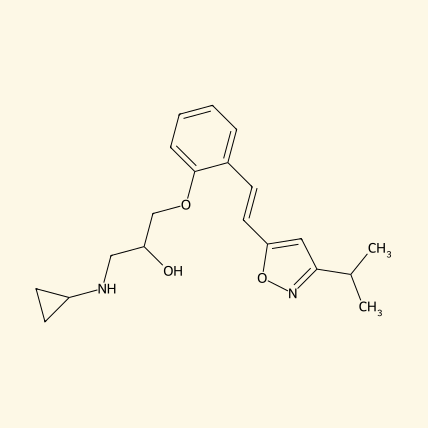 CC(C)c1cc(C=Cc2ccccc2OCC(O)CNC2CC2)on1